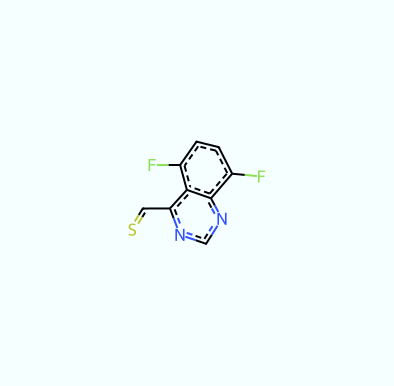 Fc1ccc(F)c2c(C=S)ncnc12